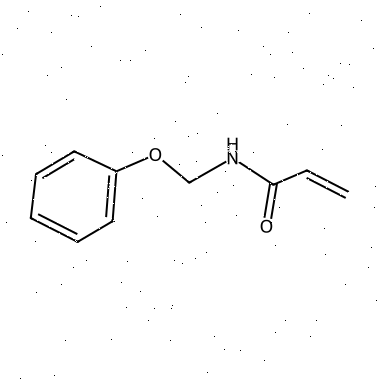 C=CC(=O)NCOc1ccccc1